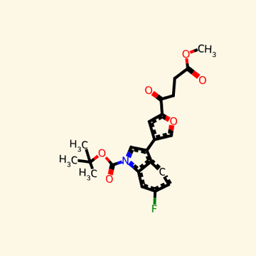 COC(=O)CCC(=O)c1cc(-c2cn(C(=O)OC(C)(C)C)c3cc(F)ccc23)co1